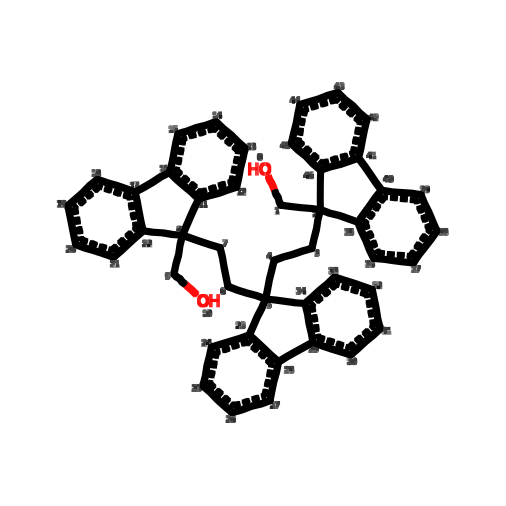 OCC1(CCC2(CCC3(CO)c4ccccc4-c4ccccc43)c3ccccc3-c3ccccc32)c2ccccc2-c2ccccc21